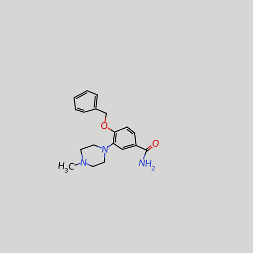 CN1CCN(c2cc(C(N)=O)ccc2OCc2ccccc2)CC1